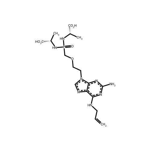 C=CCNc1nc(N)nc2c1ncn2CCOCP(=O)(N[C@@H](C)C(=O)O)N[C@@H](C)C(=O)O